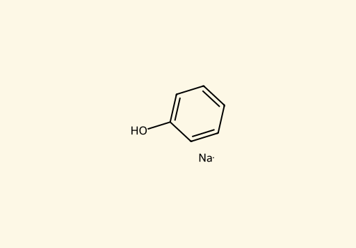 Oc1ccccc1.[Na]